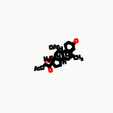 CC(=O)OCC(=O)[C@@]1(O)CC[C@H]2[C@@H]3C[C@H](C)C4=CC(=O)CC[C@]4(C)[C@H]3[C@H](OC(C)=O)C[C@@]21C